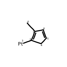 CC1=[C]([Pt])CC=C1